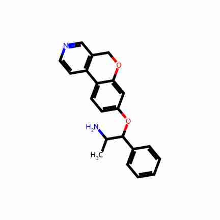 CC(N)C(Oc1ccc2c(c1)OCc1cnccc1-2)c1ccccc1